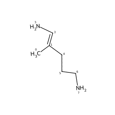 C/C(=C\N)CCCN